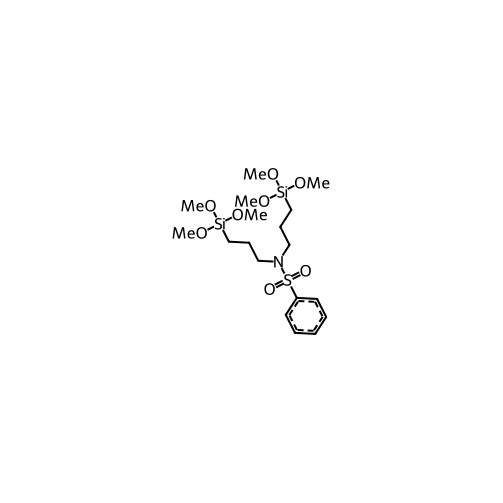 CO[Si](CCCN(CCC[Si](OC)(OC)OC)S(=O)(=O)c1ccccc1)(OC)OC